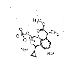 COC(=O)C(C)c1cccc(C(C)C2CC2)c1OCOP(=O)([O-])[O-].[Na+].[Na+]